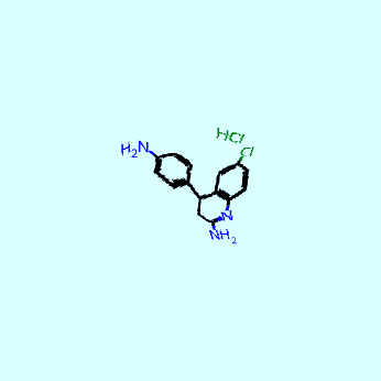 Cl.NC1=Nc2ccc(Cl)cc2C(c2ccc(N)cc2)C1